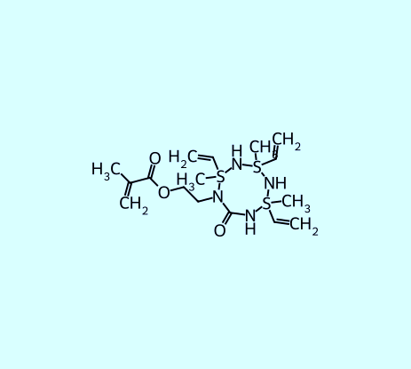 C=CS1(C)NC(=O)N(CCOC(=O)C(=C)C)S(C)(C=C)NS(C)(C=C)N1